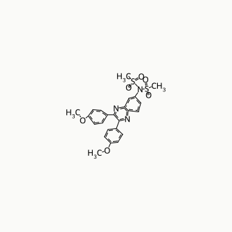 COc1ccc(-c2nc3ccc(N(S(C)(=O)=O)S(C)(=O)=O)cc3nc2-c2ccc(OC)cc2)cc1